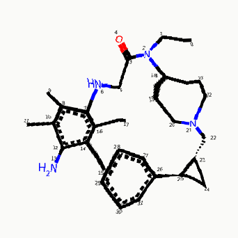 CCN(C(=O)CNc1c(C)c(C)c(N)c(C)c1C)C1CCN(C[C@@H]2C[C@H]2c2ccccc2)CC1